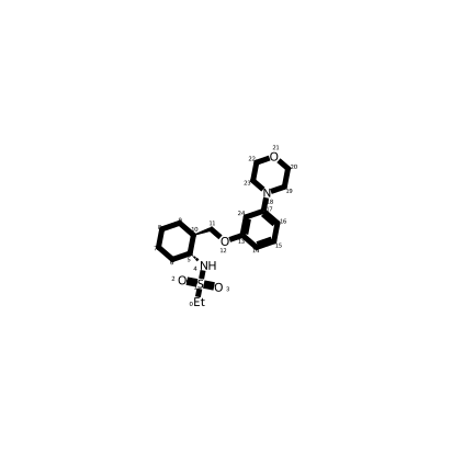 CCS(=O)(=O)N[C@@H]1CCCC[C@H]1COc1cccc(N2CCOCC2)c1